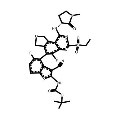 CCS(=O)(=O)c1nc(N[C@@H]2CCN(C)C2=O)c2c3c(c(-c4c(F)ccc5sc(NC(=O)OC(C)(C)C)c(C#N)c45)c(F)c2n1)COC3